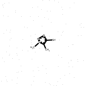 Cc1c(S)nnn1C